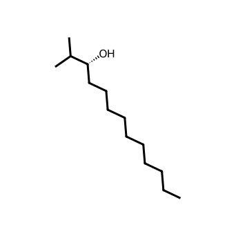 CCCCCCCCCC[C@@H](O)C(C)C